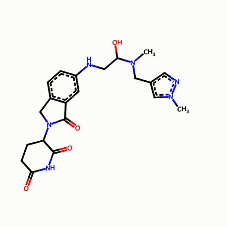 CN(Cc1cnn(C)c1)C(O)CNc1ccc2c(c1)C(=O)N(C1CCC(=O)NC1=O)C2